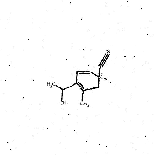 CC1=C(C(C)C)C=C[C@@](I)(C#N)C1